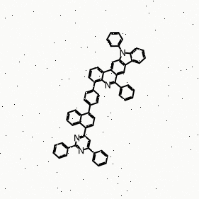 c1ccc(-c2cc(-c3ccc(-c4ccc(-c5cccc6c5nc(-c5ccccc5)c5cc7c8ccccc8n(-c8ccccc8)c7cc56)cc4)c4ccccc34)nc(-c3ccccc3)n2)cc1